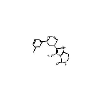 Nc1c(-c2ccnc(-c3cccc(F)c3)c2)[nH]c2c1C(=O)NCC2